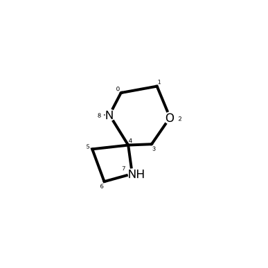 C1COCC2(CCN2)[N]1